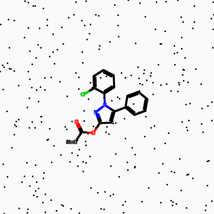 COC(=O)Oc1cc(-c2ccccc2)n(-c2ccccc2Cl)n1